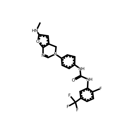 CNc1cc2c(o1)N=CN(c1ccc(NC(=O)Nc3cc(C(F)(F)F)ccc3F)cc1)C2